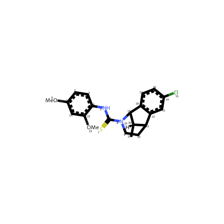 COc1ccc(NC(=S)N2CCC3c4cc(Cl)ccc4C2[C@H]3C)c(OC)c1